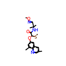 CON=CC(C)(C)NC(=O)C(Oc1cc(C)c2ncc(C)cc2c1)SC